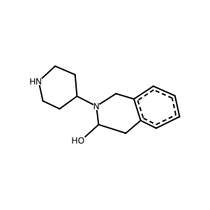 OC1Cc2ccccc2CN1C1CCNCC1